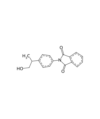 CC(CO)c1ccc(N2C(=O)c3ccccc3C2=O)cc1